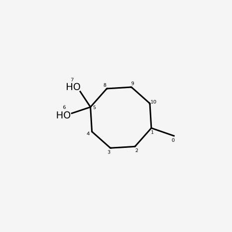 CC1CCCC(O)(O)CCC1